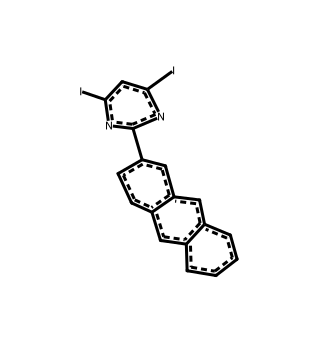 Ic1cc(I)nc(-c2ccc3cc4ccccc4cc3c2)n1